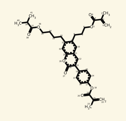 C=C(C)C(=O)OCCCc1cc2cc(-c3ccc(OC(=O)C(=C)C)cc3)c(=O)oc2cc1CCCCOC(=O)C(C)C